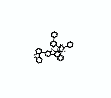 c1ccc(-c2ccc(-n3c4ccccc4c4ccc(-c5cccc6sc7ccccc7c56)cc43)c(-c3nc(-c4ccccc4)nc(-c4ccccc4)n3)c2)cc1